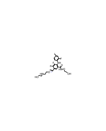 O=C(NOCCO)c1cc(/C=N/OCCNCCO)c(F)c(F)c1Nc1ccc(I)cc1F